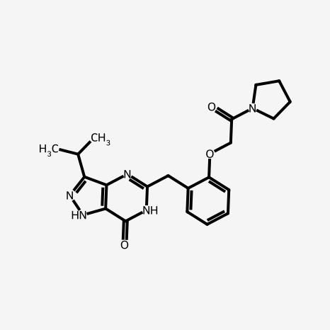 CC(C)c1n[nH]c2c(=O)[nH]c(Cc3ccccc3OCC(=O)N3CCCC3)nc12